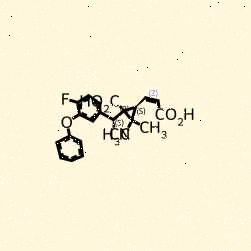 CC1(C)[C@H](/C=C\C(=O)O)[C@@]1(C(=O)O)[C@@H](C#N)c1ccc(F)c(Oc2ccccc2)c1